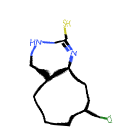 SC1=NC2CC(Cl)CCCC2CN1